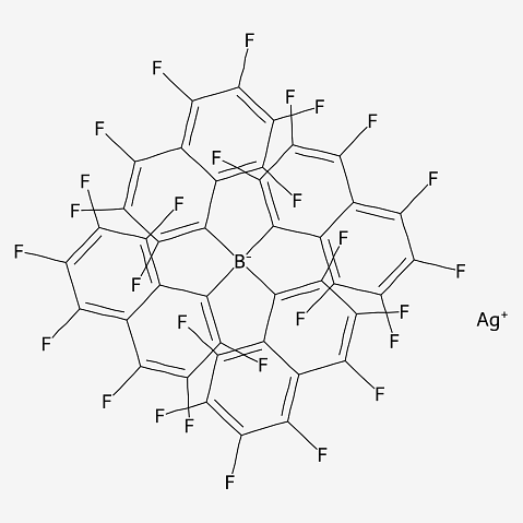 Fc1c(F)c(F)c2c([B-](c3c(F)c(F)c(F)c4c(F)c(F)c(F)c(F)c34)(c3c(F)c(F)c(F)c4c(F)c(F)c(F)c(F)c34)c3c(F)c(F)c(F)c4c(F)c(F)c(F)c(F)c34)c(F)c(F)c(F)c2c1F.[Ag+]